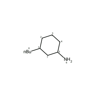 CCCCC1C[CH]CC(N)C1